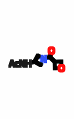 CC(=O)NC1CN(C(=O)C2COC2)C1